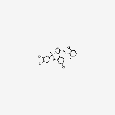 CC(C)(c1ccc(Cl)c(Cl)c1)c1cnc(SCc2c(F)cccc2Cl)n1-c1ccc(Cl)cc1F